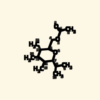 CC(=O)OCC1O[C@@H](C(C)C)C(C)[C@@H](C)[C@@H]1C